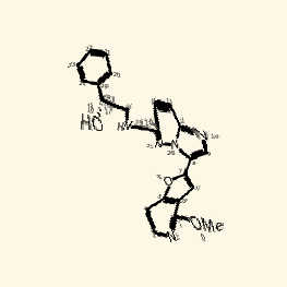 COc1nccc2oc(-c3cnc4ccc(NC[C@H](O)c5ccccc5)nn34)cc12